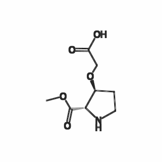 COC(=O)[C@H]1NCC[C@@H]1OCC(=O)O